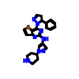 C1=NN(c2nc(Nc3cnn(C4CCNCC4)c3)nc3ccsc23)C(c2ccccc2)C1